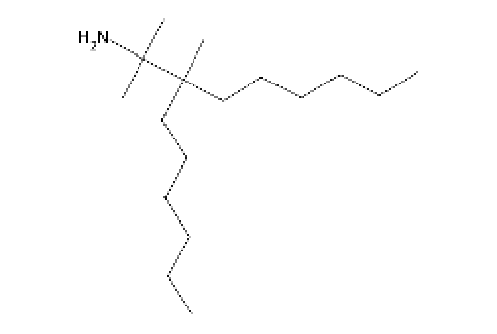 CCCCCCC(C)(CCCCCC)C(C)(C)N